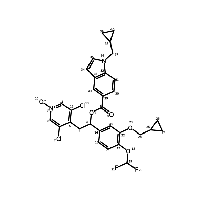 O=C(OC(Cc1c(Cl)c[n+]([O-])cc1Cl)c1ccc(OC(F)F)c(OCC2CC2)c1)c1ccc2c(ccn2CC2CC2)c1